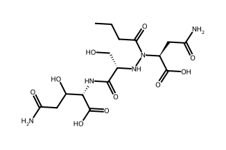 CCCC(=O)N(N[C@@H](CO)C(=O)N[C@H](C(=O)O)C(O)CC(N)=O)[C@@H](CC(N)=O)C(=O)O